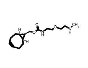 CNCCOCCNC(=O)OC[C@@H]1[C@@H]2CCC#CCC[C@@H]21